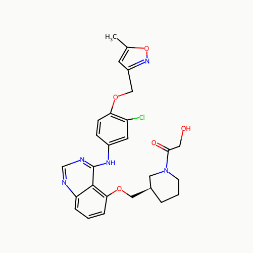 Cc1cc(COc2ccc(Nc3ncnc4cccc(OC[C@@H]5CCCN(C(=O)CO)C5)c34)cc2Cl)no1